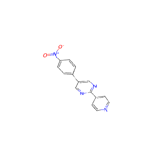 O=[N+]([O-])c1ccc(-c2cnc(-c3ccncc3)nc2)cc1